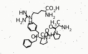 C[C@H](N)C(=O)N1CCC[C@H]1C(=O)N1CCC[C@@]1(C(=O)O)P(=O)(Cc1ccccc1)Cc1ccccc1.N=C(N)NCCC[C@H](N)C(=O)O